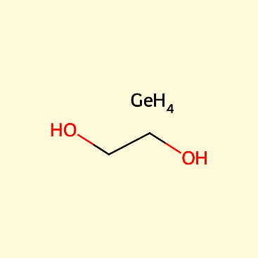 OCCO.[GeH4]